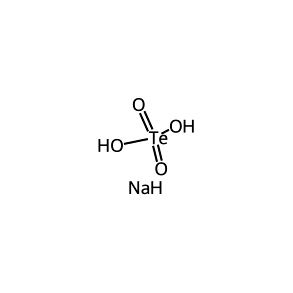 O=[Te](=O)(O)O.[NaH]